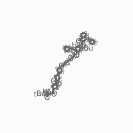 CC(C)(C)OC(=O)CNC(=O)c1ccc(S(=O)(=O)N2CCC(c3ccc(OCCOCCOCCOc4cc(C(C)(C)C)c(NC(=O)c5cn(Cc6ccccc6)c6ccccc6c5=O)cc4OCc4ccccc4)cc3)CC2)cc1